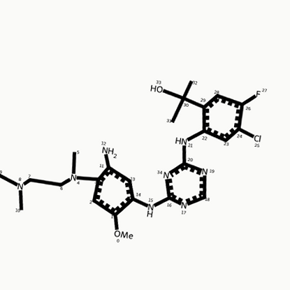 COc1cc(N(C)CCN(C)C)c(N)cc1Nc1ncnc(Nc2cc(Cl)c(F)cc2C(C)(C)O)n1